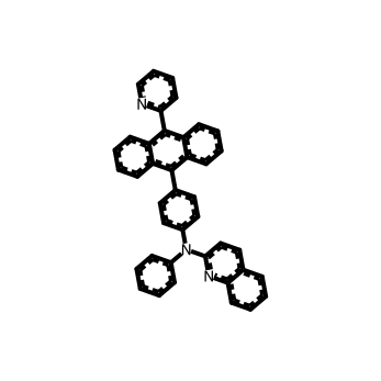 c1ccc(N(c2ccc(-c3c4ccccc4c(-c4ccccn4)c4ccccc34)cc2)c2ccc3ccccc3n2)cc1